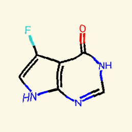 O=c1[nH]cnc2[nH]cc(F)c12